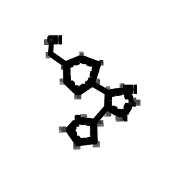 OCc1ccc(-c2[nH]nnc2-c2cccs2)cc1